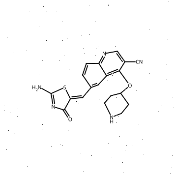 N#Cc1cnc2ccc(/C=C3\SC(N)=NC3=O)cc2c1OC1CCNCC1